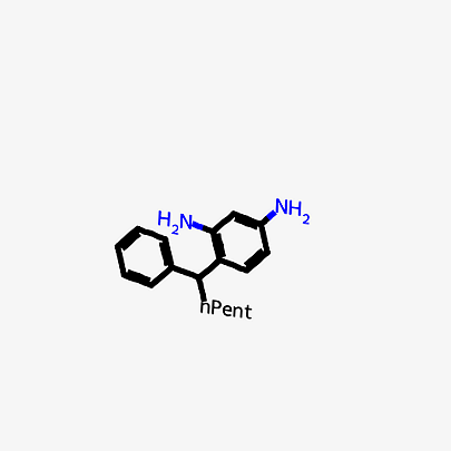 CCCCCC(c1ccccc1)c1ccc(N)cc1N